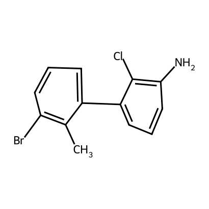 Cc1c(Br)cccc1-c1cccc(N)c1Cl